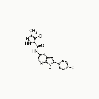 Cc1n[nH]c(C(=O)Nc2cnc3[nH]c(-c4ccc(F)cc4)cc3c2)c1Cl